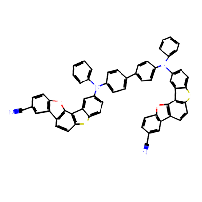 N#Cc1ccc2oc3c(ccc4sc5ccc(N(c6ccccc6)c6ccc(-c7ccc(N(c8ccccc8)c8ccc9sc%10ccc%11c%12cc(C#N)ccc%12oc%11c%10c9c8)cc7)cc6)cc5c43)c2c1